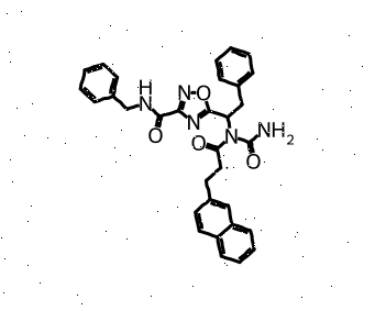 NC(=O)N(C(=O)[CH]Cc1ccc2ccccc2c1)C(Cc1ccccc1)c1nc(C(=O)NCc2ccccc2)no1